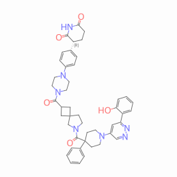 O=C1CC[C@H](c2ccc(N3CCN(C(=O)C4CC5(CCN(C(=O)C6(c7ccccc7)CCN(c7cnnc(-c8ccccc8O)c7)CC6)C5)C4)CC3)cc2)C(=O)N1